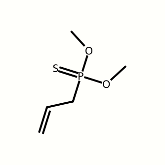 C=CCP(=S)(OC)OC